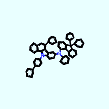 c1ccc(-c2ccc(-n3c4ccc(N(c5ccccc5)c5cccc6c5-c5ccccc5C6(c5ccccc5)c5ccccc5)cc4c4c(-c5ccccc5)cc5ccccc5c43)cc2)cc1